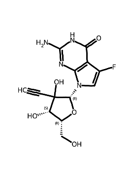 C#CC1(O)[C@@H](O)[C@@H](CO)O[C@H]1n1cc(F)c2c(=O)[nH]c(N)nc21